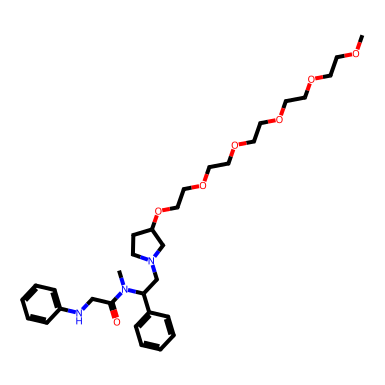 COCCOCCOCCOCCOCCOC1CCN(CC(c2ccccc2)N(C)C(=O)CNc2ccccc2)C1